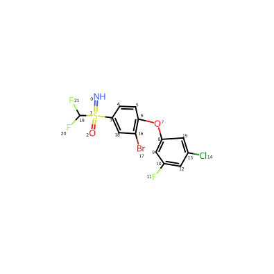 N=S(=O)(c1ccc(Oc2cc(F)cc(Cl)c2)c(Br)c1)C(F)F